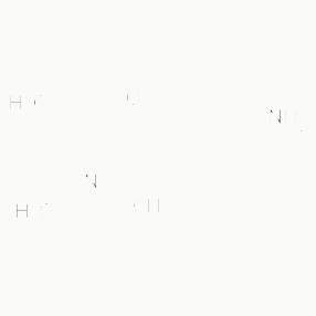 CC(OCCN)N(C)C